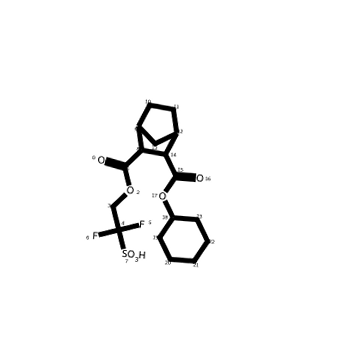 O=C(OCC(F)(F)S(=O)(=O)O)C1C2CCC(C2)C1C(=O)OC1CCCCC1